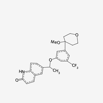 COC1(c2cc(OC(C)c3ccc4[nH]c(=O)ccc4c3)cc(C(F)(F)F)c2)CCOCC1